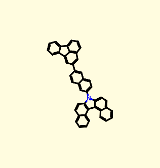 c1ccc2c(c1)-c1cccc3cc(-c4ccc5cc(-n6c7ccc8ccccc8c7c7c8ccccc8ccc76)ccc5c4)cc-2c13